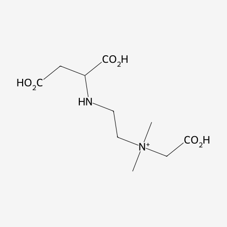 C[N+](C)(CCNC(CC(=O)O)C(=O)O)CC(=O)O